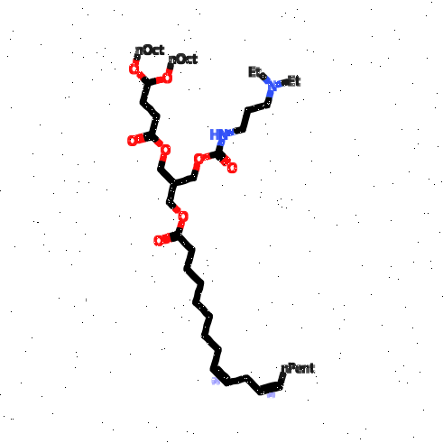 CCCCC/C=C\C/C=C\CCCCCCCC(=O)OCC(COC(=O)CCC(OCCCCCCCC)OCCCCCCCC)COC(=O)NCCCN(CC)CC